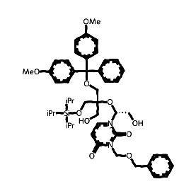 COc1ccc(C(OC[C@@](CO)(CO[Si](C(C)C)(C(C)C)C(C)C)O[C@H](CO)n2ccc(=O)n(COCc3ccccc3)c2=O)(c2ccccc2)c2ccc(OC)cc2)cc1